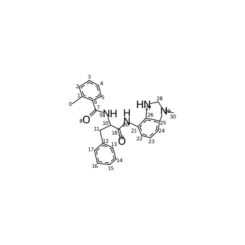 Cc1ccccc1C(=O)NC(Cc1ccccc1)C(=O)Nc1cccc2c1NCN2C